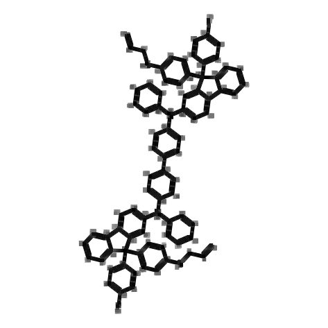 C=CCSc1ccc(C2(c3ccc(F)cc3)c3ccccc3-c3ccc(N(c4ccccc4)c4ccc(-c5ccc(N(c6ccccc6)c6ccc7c(c6)C(c6ccc(F)cc6)(c6ccc(SCC=C)cc6)c6ccccc6-7)cc5)cc4)cc32)cc1